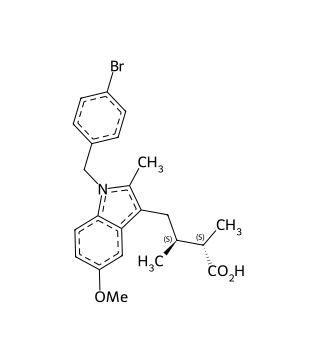 COc1ccc2c(c1)c(C[C@H](C)[C@H](C)C(=O)O)c(C)n2Cc1ccc(Br)cc1